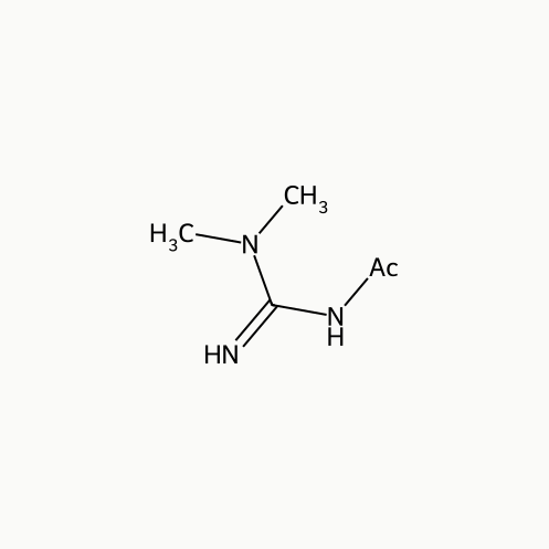 CC(=O)NC(=N)N(C)C